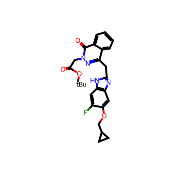 CC(C)(C)OC(=O)Cn1nc(Cc2nc3cc(OCC4CC4)c(F)cc3[nH]2)c2ccccc2c1=O